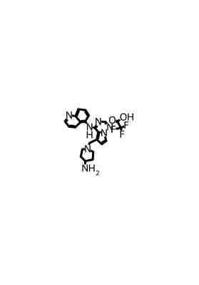 NC1CCN(Cc2ccn3ncnc(Nc4cccc5ncccc45)c23)CC1.O=C(O)C(F)(F)F